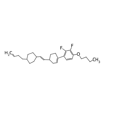 C=CCCC1CCC(/C=C/C2CC=C(c3ccc(OCCCC)c(F)c3F)CC2)CC1